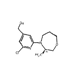 C[C@@H]1COCCCN1c1cc(CO)cc(Cl)n1